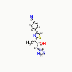 CC(c1nc(-c2ccc(C#N)cc2)cs1)C(O)Cn1cncn1